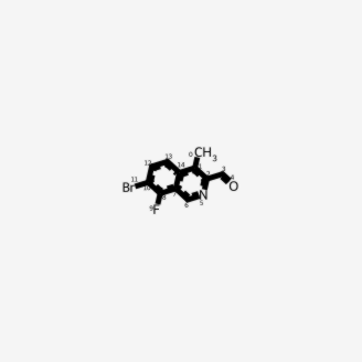 Cc1c(C=O)ncc2c(F)c(Br)ccc12